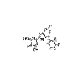 Oc1nc(-c2cc(OC(F)F)n(Cc3cccc(F)c3F)n2)nc(O)c1F